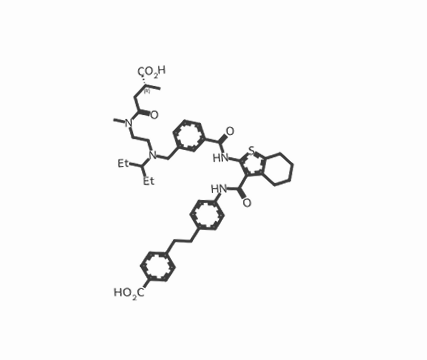 CCC(CC)N(CCN(C)C(=O)C[C@@H](C)C(=O)O)Cc1cccc(C(=O)Nc2sc3c(c2C(=O)Nc2ccc(CCc4ccc(C(=O)O)cc4)cc2)CCCC3)c1